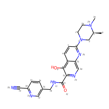 C[C@H]1CN(c2ccc3c(O)c(C(=O)NCc4ccc(C#N)nc4)ncc3n2)CCN1C